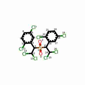 O=S(=O)(C(c1cc(Cl)ccc1Cl)C(Cl)Cl)C(c1cc(Cl)ccc1Cl)C(Cl)Cl